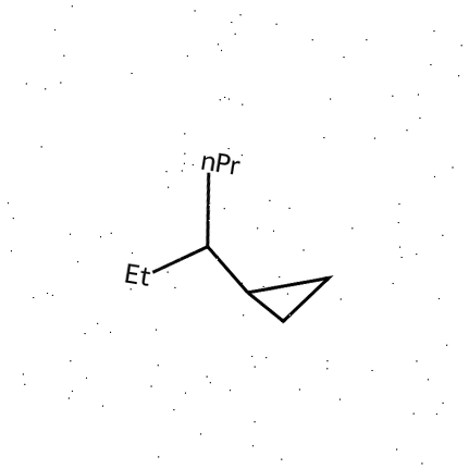 CCCC(CC)C1CC1